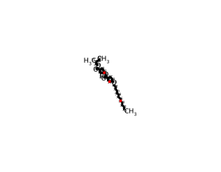 CCCCCCCCCCCCCCOc1ccc(C(=O)Oc2ccc(C(=O)OCC(C)CC)cc2F)cc1